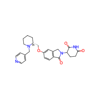 O=C1CCC(N2Cc3cc(OC[C@H]4CCCCN4Cc4ccncc4)ccc3C2=O)C(=O)N1